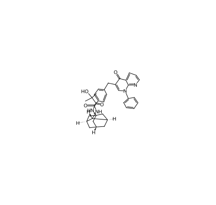 CC(C)(O)C(=O)N[C@]12C[C@@H]3C[C@H](C1)[C@@H](NC(=O)c1ccc(Cc4cn(-c5ccccc5)c5ncccc5c4=O)cc1)[C@@H](C3)C2